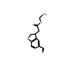 CCOC(=O)CC1COc2ccc(C=O)cc21